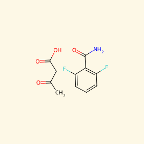 CC(=O)CC(=O)O.NC(=O)c1c(F)cccc1F